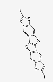 Ic1cc2cc3c(cc2s1)sc1c2cc4cc(I)sc4cc2sc31